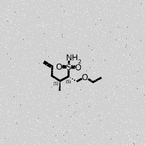 C=CC[C@H](C)[C@@H](COCC)S(N)(=O)=O